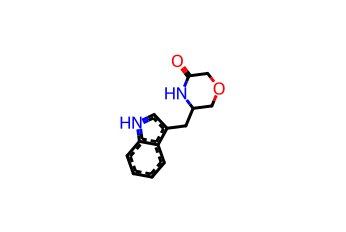 O=C1COCC(Cc2c[nH]c3ccccc23)N1